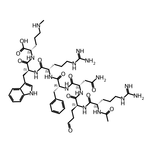 CNCCC[C@H](NC(=O)[C@H](Cc1c[nH]c2ccccc12)NC(=O)[C@H](CCCNC(=N)N)NC(=O)[C@@H](Cc1ccccc1)NC(=O)[C@H](CC(N)=O)NC(=O)[C@H](CCC=O)NC(=O)[C@H](CCCNC(=N)N)NC(C)=O)C(=O)O